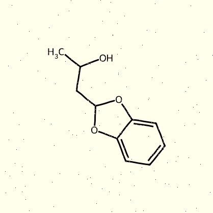 CC(O)CC1Oc2ccccc2O1